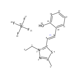 CC[n+]1nc(C)sc1/C=C/c1ccccc1O.F[B-](F)(F)F